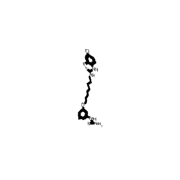 NC(=S)Nc1cccc(OCCCCCCCCNC(=S)Nc2ccc(Cl)cc2F)c1